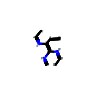 C=CC(/N=C\C)=C(N=C)\N=C/C